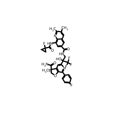 Cc1cc2cc(C(=O)NCC(O)(c3cc4c(c(-c5ccc(F)cc5)n3)OC[C@]4(C)C(N)=O)C(F)(F)F)cc(NC(=O)C3(F)CC3)c2nc1C